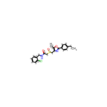 CCc1ccc(-c2nc(C[S+]([O-])CC(=O)NCc3ccccc3Cl)c(C)o2)cc1